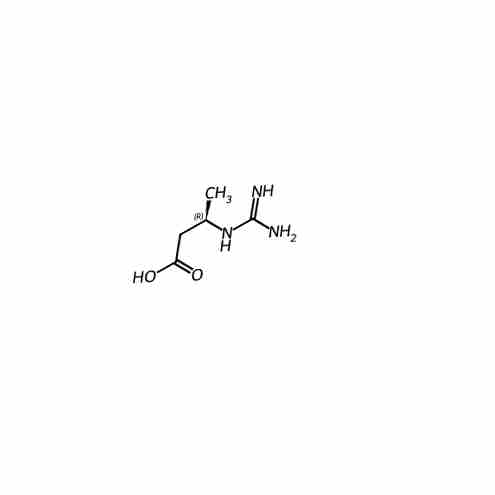 C[C@H](CC(=O)O)NC(=N)N